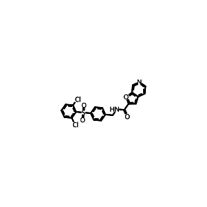 O=C(NCc1ccc(S(=O)(=O)c2c(Cl)cccc2Cl)cc1)c1cc2ccncc2o1